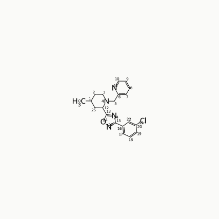 CC1CCN(Cc2ccccn2)C(c2nc(-c3cccc(Cl)c3)no2)C1